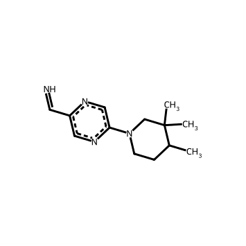 CC1CCN(c2cnc(C=N)cn2)CC1(C)C